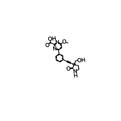 COc1cc(-c2cccc(C#C[C@@]3(CO)CCNC3=O)c2)nc(C(=O)O)n1